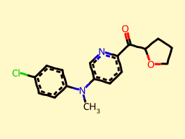 CN(c1ccc(Cl)cc1)c1ccc(C(=O)C2CCCO2)nc1